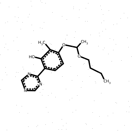 CCCCOC(C)Oc1ccc(-c2ncncn2)c(O)c1C